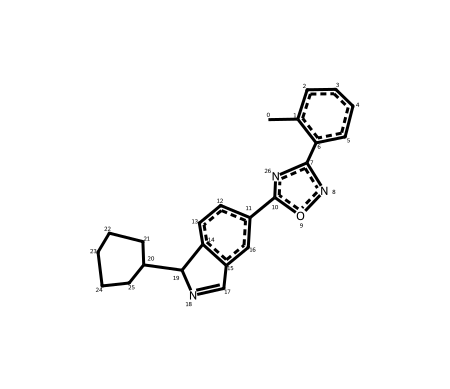 Cc1ccccc1-c1noc(-c2ccc3c(c2)C=NC3C2CCCCC2)n1